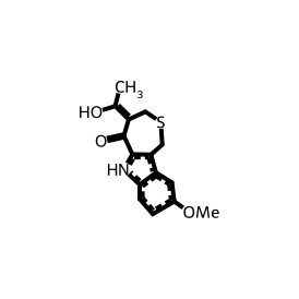 COc1ccc2[nH]c3c(c2c1)CSC/C(=C(\C)O)C3=O